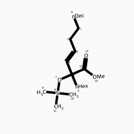 CCCCCCCCCCCCC=CC(CCCCCC)(O[Si](C)(C)C)C(=O)OC